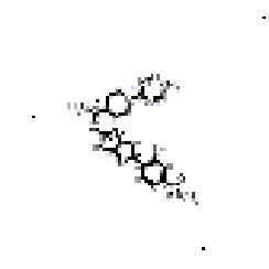 C/C=N\C(=N/C)N1CCC([C@H](C)Oc2nn3cc(-c4ccc(S(C)(=O)=O)cc4F)nc3s2)CC1